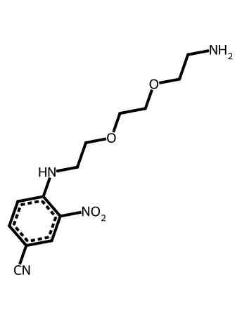 N#Cc1ccc(NCCOCCOCCN)c([N+](=O)[O-])c1